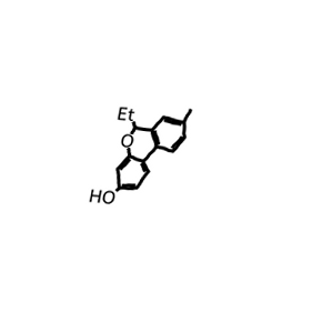 CCC1Oc2cc(O)ccc2-c2ccc(C)cc21